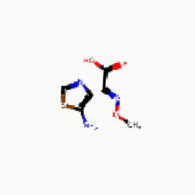 CON=CC(=O)O.Nc1cncs1